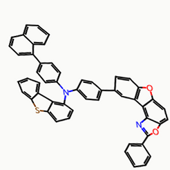 c1ccc(-c2nc3c(ccc4oc5ccc(-c6ccc(N(c7ccc(-c8cccc9ccccc89)cc7)c7cccc8sc9ccccc9c78)cc6)cc5c43)o2)cc1